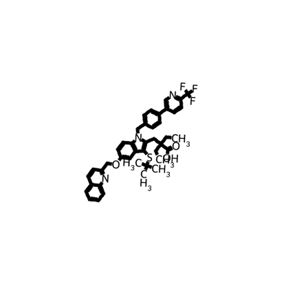 CCC(CC)(Cc1c(SC(C)(C)C)c2cc(OCc3ccc4ccccc4n3)ccc2n1Cc1ccc(-c2ccc(C(F)(F)F)nc2)cc1)C(=O)O